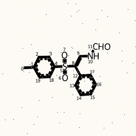 Cc1ccc(S(=O)(=O)C(=CNC=O)c2ccccc2)cc1